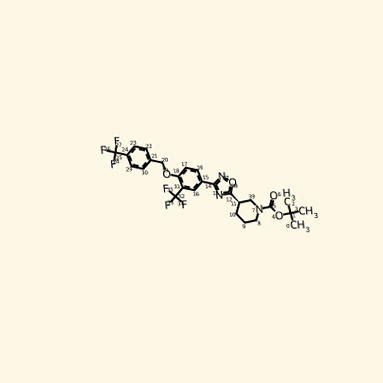 CC(C)(C)OC(=O)N1CCC[C@@H](c2nc(-c3ccc(OCc4ccc(C(F)(F)F)cc4)c(C(F)(F)F)c3)no2)C1